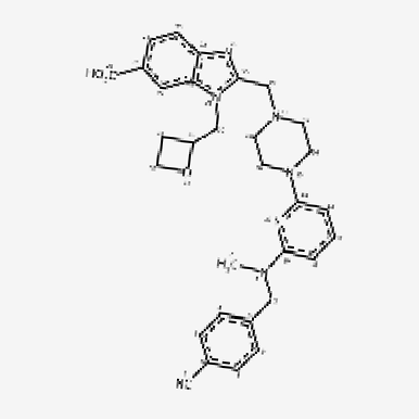 CN(Cc1ccc(C#N)cc1)c1cccc(N2CCN(Cc3nc4ccc(C(=O)O)cc4n3CC3CCO3)CC2)n1